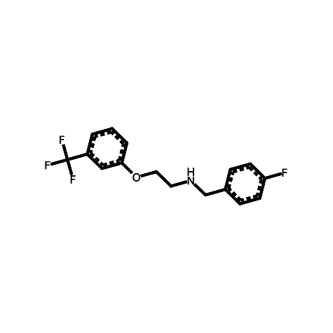 Fc1ccc(CNCCOc2cccc(C(F)(F)F)c2)cc1